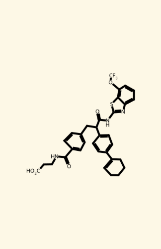 O=C(O)CCNC(=O)c1ccc(CC(C(=O)Nc2nc3cccc(OC(F)(F)F)c3s2)c2ccc(C3=CCCCC3)cc2)cc1